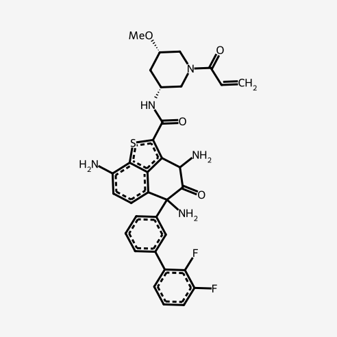 C=CC(=O)N1C[C@H](NC(=O)c2sc3c(N)ccc4c3c2C(N)C(=O)C4(N)c2cccc(-c3cccc(F)c3F)c2)C[C@H](OC)C1